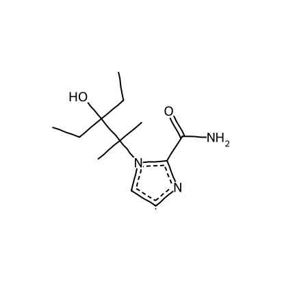 CCC(O)(CC)C(C)(C)n1c[c]nc1C(N)=O